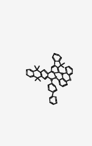 CC1(C)c2ccccc2C(C)(C)c2cc3c(cc21)-c1cc2c(c4c1B(c1cccc5c1N4c1ccccc1S5)N3c1ccc(-c3ccccc3)cc1)C(C)(C)c1ccccc1-2